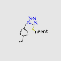 C=Cc1ccc(Cn2nnnc2SCCCCC)cc1